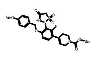 COc1ccc(COc2ccc(C3=CCN(C(=O)OC(C)(C)C)CC3)c(F)c2N2NC(=O)CS2(=O)=O)cc1